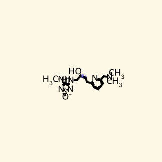 CNc1n[s+]([O-])nc1NC/C(O)=C\Cc1cccc(CN(C)C)n1